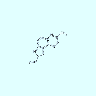 Cc1cnc2c3c(ccc2n1)=NC(C=O)C=3